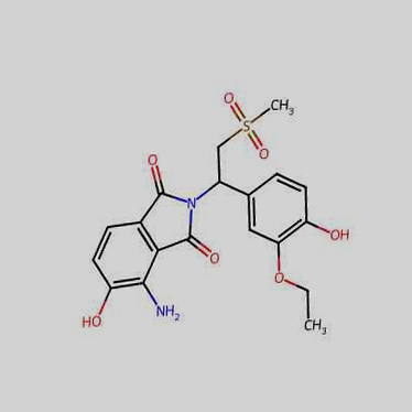 CCOc1cc(C(CS(C)(=O)=O)N2C(=O)c3ccc(O)c(N)c3C2=O)ccc1O